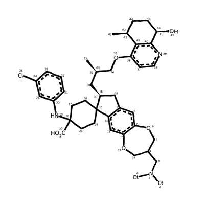 CCN(CC)CC1COc2cc3c(cc2OC1)C1(CCC(Nc2cccc(Cl)c2)(C(=O)O)CC1)[C@@H](C[C@@H](C)COc1ccnc2c1[C@@H](C)CC[C@H]2O)C3